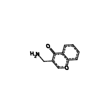 NCc1coc2ccccc2c1=O